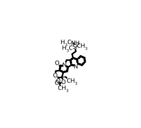 CC[C@@]1(OC(C)=O)C(=O)OCc2c1cc1n(c2=O)Cc2c-1nc1ccccc1c2CC[Si](C)(C)NC